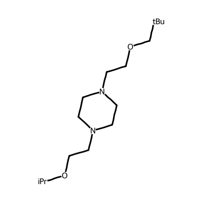 CC(C)OCCN1CCN(CCOCC(C)(C)C)CC1